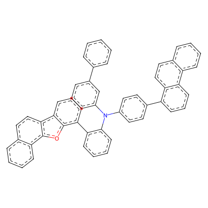 c1ccc(-c2cccc(N(c3ccc(-c4cccc5c4ccc4ccccc45)cc3)c3ccccc3-c3cccc4c3oc3c5ccccc5ccc43)c2)cc1